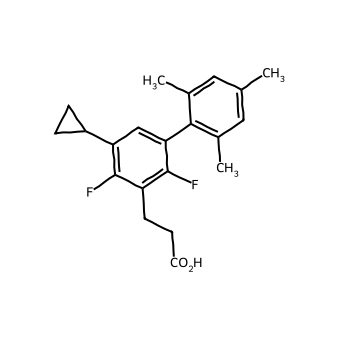 Cc1cc(C)c(-c2cc(C3CC3)c(F)c(CCC(=O)O)c2F)c(C)c1